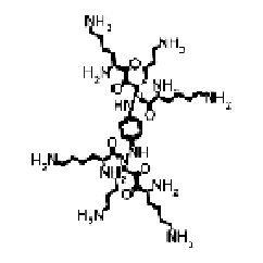 NCCCC[C@H](N)C(=O)C(=O)[C@H](CCCCN)N(Nc1ccc(NN(C(=O)[C@@H](N)CCCCN)[C@@H](CCCCN)C(=O)C(=O)[C@@H](N)CCCCN)cc1)C(=O)[C@@H](N)CCCCN